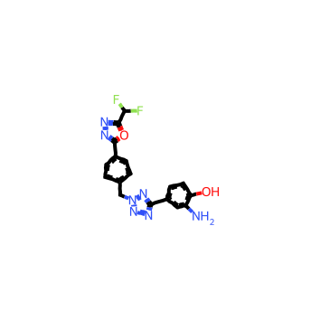 Nc1cc(-c2nnn(Cc3ccc(-c4nnc(C(F)F)o4)cc3)n2)ccc1O